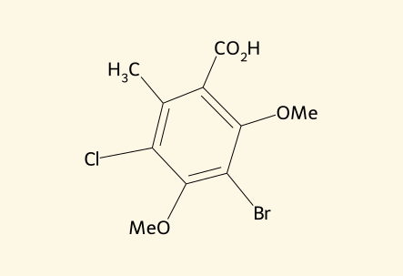 COc1c(Cl)c(C)c(C(=O)O)c(OC)c1Br